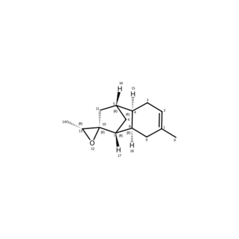 CC1=CC[C@@H]2[C@@H]3C[C@H]([C@@H]2C1)[C@@]1(C3)O[C@@H]1C